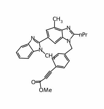 CCCc1nc2c(C)cc(-c3nc4ccccc4n3C)cc2n1Cc1ccc(C#CC(=O)OC)cc1